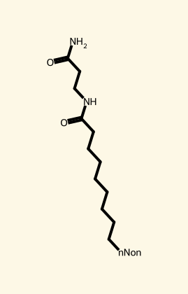 CCCCCCCCCCCCCCCCCC(=O)NCCC(N)=O